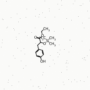 CCOC(=O)C(Cc1ccc(O)cc1)O[Si](C)(C)C